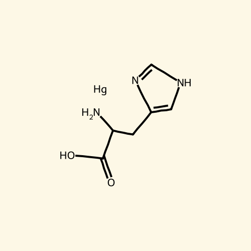 NC(Cc1c[nH]cn1)C(=O)O.[Hg]